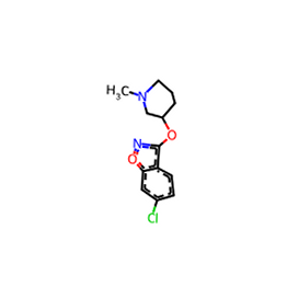 CN1CCCC(Oc2noc3cc(Cl)ccc23)C1